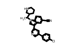 CC(C1CCCNC1)n1cc(-c2cncc(-c3ccc(Cl)cc3)c2)c2cc(C#N)ccc21